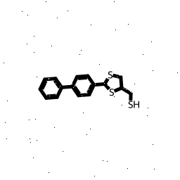 SCC1CSC(c2ccc(-c3ccccc3)cc2)S1